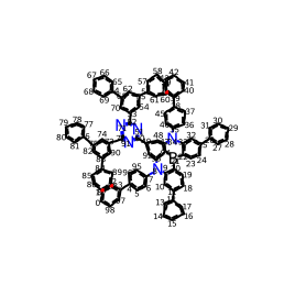 c1ccc(-c2ccc(N3c4cc(-c5ccccc5)ccc4B4c5ccc(-c6ccccc6)cc5N(c5ccc(-c6ccccc6)cc5)c5cc(-c6nc(-c7cc(-c8ccccc8)cc(-c8ccccc8)c7)nc(-c7cc(-c8ccccc8)cc(-c8ccccc8)c7)n6)cc3c54)cc2)cc1